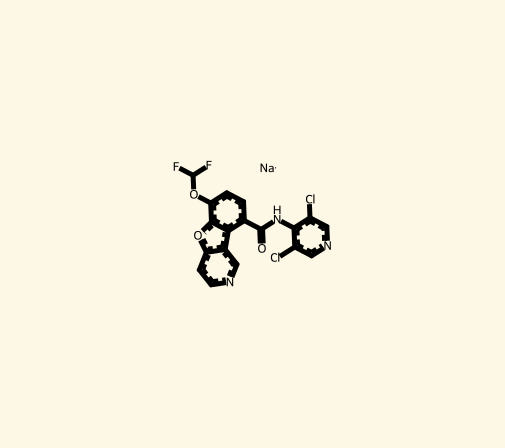 O=C(Nc1c(Cl)cncc1Cl)c1ccc(OC(F)F)c2oc3ccncc3c12.[Na]